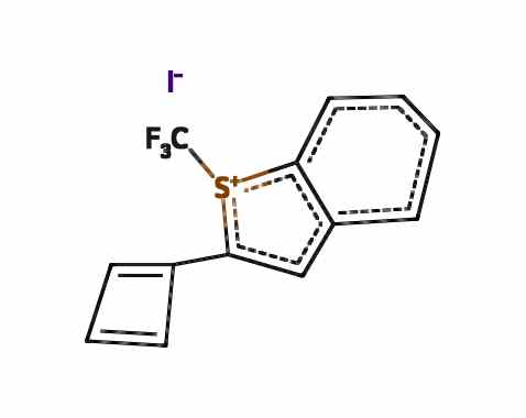 FC(F)(F)[s+]1c(C2=CC=C2)cc2ccccc21.[I-]